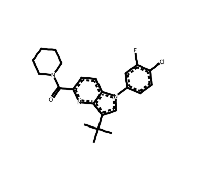 CC(C)(C)c1cn(-c2ccc(Cl)c(F)c2)c2ccc(C(=O)N3CCCCC3)nc12